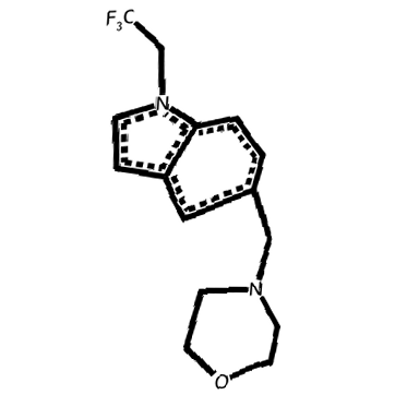 FC(F)(F)Cn1ccc2cc(CN3CCOCC3)ccc21